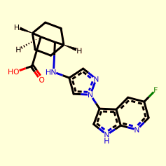 O=C(O)[C@@H]1C(Nc2cnn(-c3c[nH]c4ncc(F)cc34)c2)[C@H]2CC[C@@H]1CC2